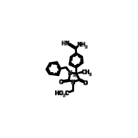 C[C@@]1(c2ccc(C(=N)N)cc2)C(=O)N(CC(=O)O)C(=O)N1Cc1ccccc1